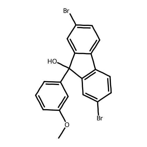 COc1cccc(C2(O)c3cc(Br)ccc3-c3ccc(Br)cc32)c1